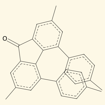 Cc1ccc(-c2cc(C)cc3c2-c2c(cc(C)cc2-c2ccc(C)cc2)C3=O)cc1